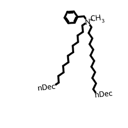 CCCCCCCCCCCCCCCCCCCCCC[N+](C)(CCCCCCCCCCCCCCCCCCCCCC)Cc1ccccc1